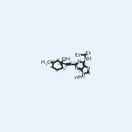 CCCn1cnc2c(NC(CC)CC)nc(C#CC3(O)CCCC(C)C3)nc21